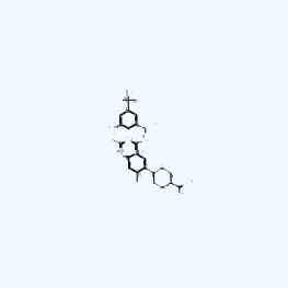 Cc1nc(N[C@H](C)c2cc(N)cc(C(F)(F)F)c2)c2cc(C3CCC(C(=O)O)CC3)c(C)cc2n1